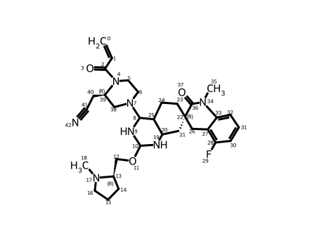 C=CC(=O)N1CCN(C2NC(OC[C@H]3CCCN3C)NC3C[C@@]4(CCC32)Cc2c(F)cccc2N(C)C4=O)C[C@H]1CC#N